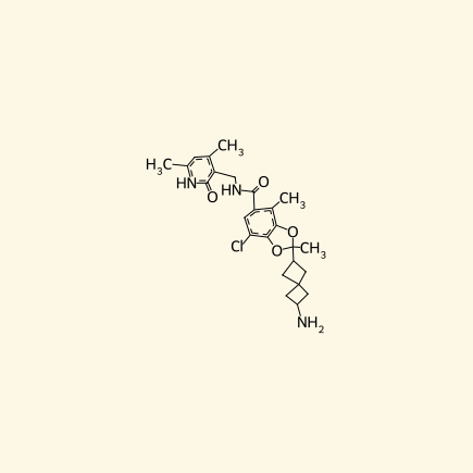 Cc1cc(C)c(CNC(=O)c2cc(Cl)c3c(c2C)OC(C)(C2CC4(CC(N)C4)C2)O3)c(=O)[nH]1